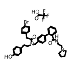 O=C(NCCN1CCCC1)c1ccccc1-c1ccc(CN(CCc2ccc(O)cc2)C(=O)Cc2ccc(Br)cc2)cc1.O=C(O)C(F)(F)F